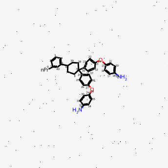 CCCc1cccc(C2CCC(c3ccc(Oc4ccc(N)cc4)cc3)(c3ccc(Oc4ccc(N)cc4)cc3)CC2)c1